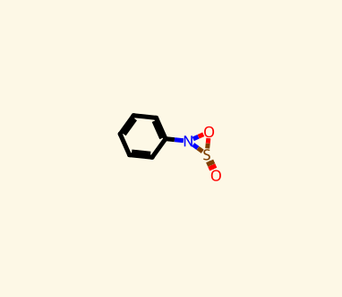 O=S1ON1c1ccccc1